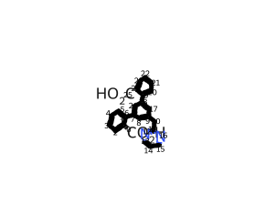 O=C(O)c1ccccc1-c1cc(Cc2ncccn2)cc(-c2ccccc2C(=O)O)c1